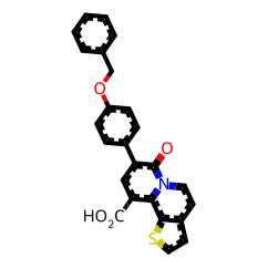 O=C(O)c1cc(-c2ccc(OCc3ccccc3)cc2)c(=O)n2ccc3ccsc3c12